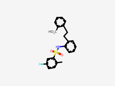 Cc1ccc(F)cc1S(=O)(=O)Nc1ccccc1CCc1ccccc1C(=O)O